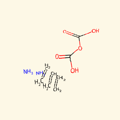 C=C.C=C.C=C.N.N.O=C(O)OC(=O)O